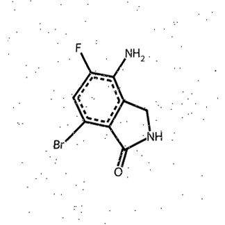 Nc1c(F)cc(Br)c2c1CNC2=O